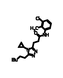 CCC(C)CCc1nnc(CCC(=O)Nc2cccc(Cl)c2C)n1C1CC1